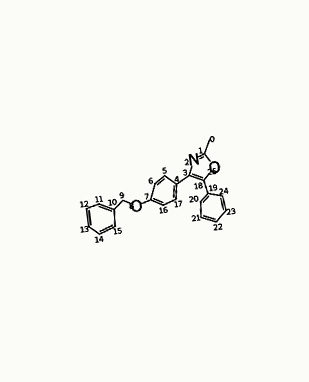 Cc1nc(-c2ccc(OCc3ccccc3)cc2)c(-c2ccccc2)o1